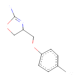 COc1ccc(OCC2COC(N)=N2)cc1